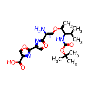 C=C(O/C=C(\N)c1nc(-c2nc(C(=O)O)co2)co1)C(NC(=O)OC(C)(C)C)C(C)C